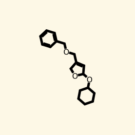 C1=C(COCc2ccccc2)COC1OC1CCCCC1